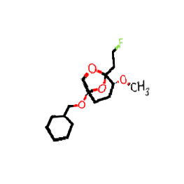 CO[C@@H]1CC[C@]2(OCC3CCCCC3)COC1(CCF)O2